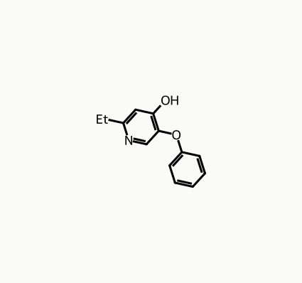 CCc1cc(O)c(Oc2ccccc2)cn1